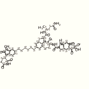 C[C@H](CCC(N)=O)NC(=O)[C@@H]1Cc2cc(CCCCCCc3ccc4c(c3)n(C)c(=O)n4C3CCC(=O)NC3=O)cc3c2N1C(=O)[C@@H](NC(=O)c1cc2cc(C(=O)P(=O)(O)O)ccc2[nH]1)CC3